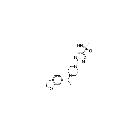 CC(c1ccc2c(c1)O[C@H](C)C2)N1CCN(c2ncc(S(C)(=N)=O)cn2)CC1